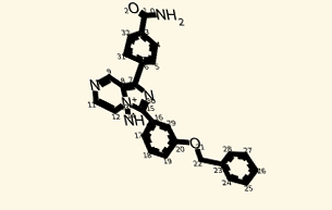 NC(=O)c1ccc(C2=C3C=NC=C[N+]3(N)C(c3cccc(OCc4ccccc4)c3)=N2)cc1